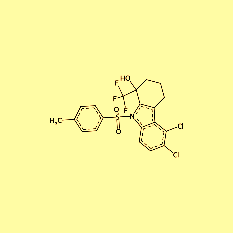 Cc1ccc(S(=O)(=O)n2c3c(c4c(Cl)c(Cl)ccc42)CCCC3(O)C(F)(F)F)cc1